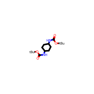 CC(C)(C)OC(=O)NC1CCC(NC(=O)OC(C)(C)C)CC1